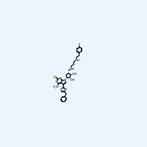 Nc1nc(Cl)nc2c1c(-c1nc(Cc3ccccc3)cs1)cn2[C@@H]1C[C@H](CNCCCNCCc2ccc(F)cc2)[C@@H](O)[C@H]1O